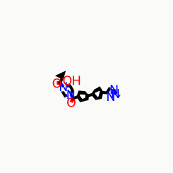 Cn1ncc(-c2ccc(-c3ccc(C(=O)N4CCN(C(=O)C5(O)CC5)CC4)cc3)cc2)n1